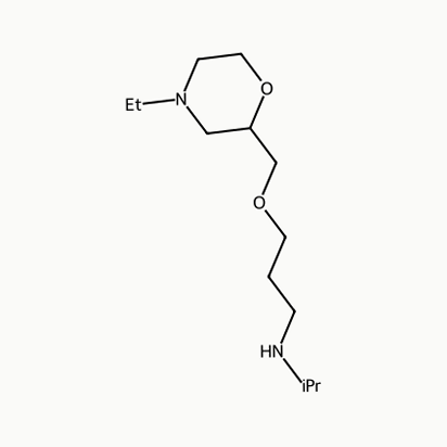 CCN1CCOC(COCCCNC(C)C)C1